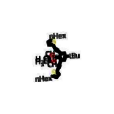 CCCCCCc1ccc(C#Cc2cc(C(C)(C)C)cc(C#Cc3ccc(CCCCCC)s3)c2B2OC(C)(C)C(C)(C)O2)s1